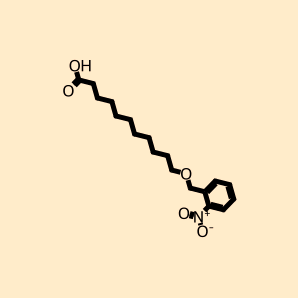 O=C(O)CCCCCCCCCCOCc1ccccc1[N+](=O)[O-]